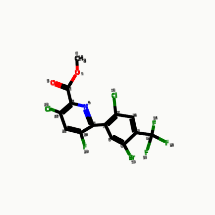 COC(=O)c1nc(-c2cc(Br)c(C(F)(F)F)cc2Cl)c(F)cc1Cl